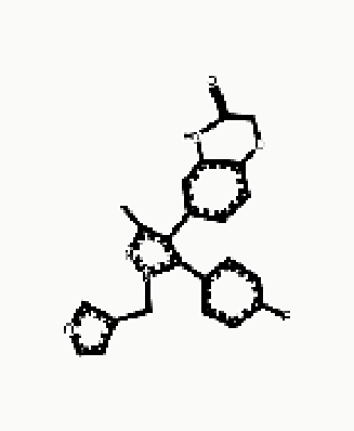 Cc1nn(Cc2ccoc2)c(-c2ccc(F)cc2)c1-c1ccc2c(c1)NC(=O)CO2